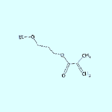 C=C(C)C(=O)OCCCOCC